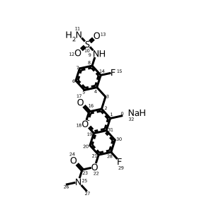 Cc1c(Cc2cccc(NS(N)(=O)=O)c2F)c(=O)oc2cc(OC(=O)N(C)C)c(F)cc12.[NaH]